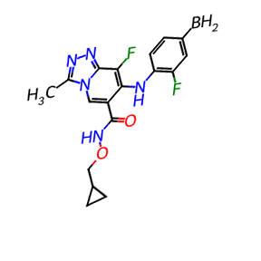 Bc1ccc(Nc2c(C(=O)NOCC3CC3)cn3c(C)nnc3c2F)c(F)c1